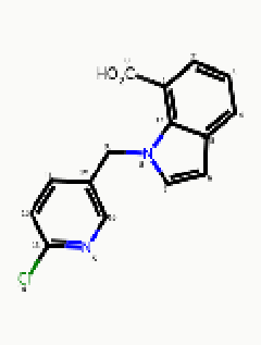 O=C(O)c1cccc2ccn(Cc3ccc(Cl)nc3)c12